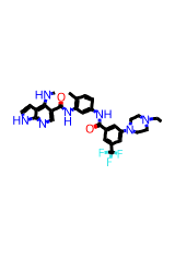 CCN1CCN(c2cc(C(=O)Nc3ccc(C)c(NC(=O)c4cnc5[nH]ccc5c4NC)c3)cc(C(F)(F)F)c2)CC1